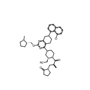 C=C(CN1CCCC1=O)C(=O)N1CCN(c2nc(OC[C@@H]3CCCN3C)nc3c2CCN(c2cccc4cccc(Cl)c24)C3)C[C@@H]1CC#N